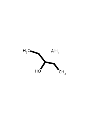 CCC(O)CC.[AlH3]